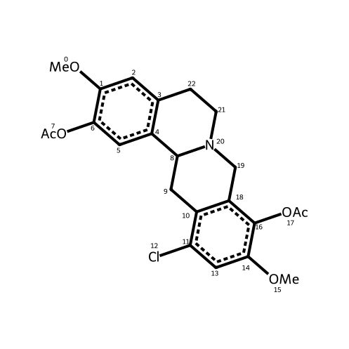 COc1cc2c(cc1OC(C)=O)C1Cc3c(Cl)cc(OC)c(OC(C)=O)c3CN1CC2